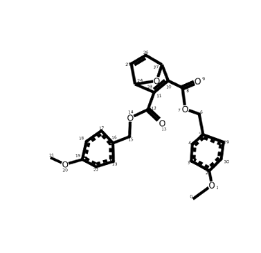 COc1ccc(COC(=O)C2=C(C(=O)OCc3ccc(OC)cc3)C3C=CC2O3)cc1